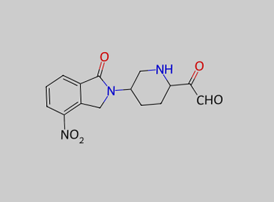 O=CC(=O)C1CCC(N2Cc3c(cccc3[N+](=O)[O-])C2=O)CN1